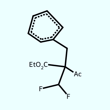 CCOC(=O)C(Cc1ccccc1)(C(C)=O)C(F)F